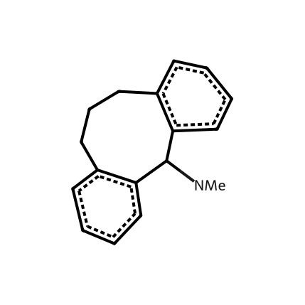 CNC1c2ccccc2CCCc2ccccc21